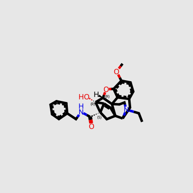 CCN1CCC23c4c5ccc(OC)c4O[C@H]2[C@@]2(O)C4=CC3(C[C@]42C(=O)NCc2ccccc2)C1C5